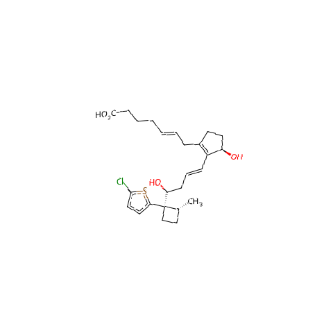 C[C@@H]1CC[C@]1(c1ccc(Cl)s1)C(O)CC=CC1=C(CC=CCCCC(=O)O)CC[C@H]1O